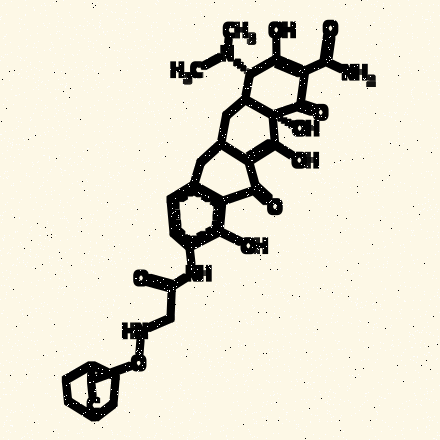 CN(C)[C@@H]1C(O)=C(C(N)=O)C(=O)[C@@]2(O)C(O)=C3C(=O)c4c(ccc(NC(=O)CNOC5CC6CCC5CC6)c4O)CC3CC12